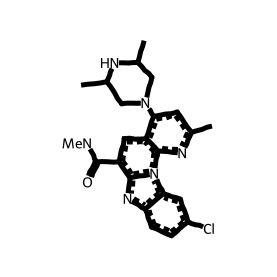 CNC(=O)c1cc2c(N3CC(C)NC(C)C3)cc(C)nc2n2c1nc1ccc(Cl)cc12